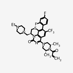 C=CC(=O)N1[C@H](C)CN(c2nc(=O)n3c4c(c(-c5ccc(F)cc5F)c(C(F)(F)F)cc24)SC[C@@H]3CN2CCN(CC)CC2)C[C@@H]1C